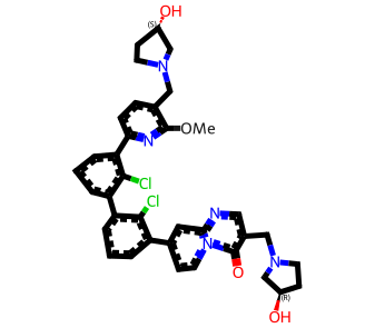 COc1nc(-c2cccc(-c3cccc(-c4ccn5c(=O)c(CN6CC[C@@H](O)C6)cnc5c4)c3Cl)c2Cl)ccc1CN1CC[C@H](O)C1